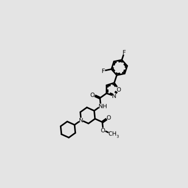 COC(=O)C1CN(C2CCCCC2)CCC1NC(=O)c1cc(-c2ccc(F)cc2F)on1